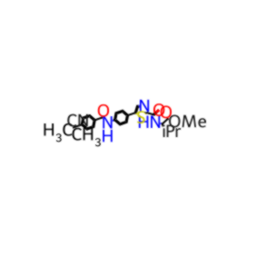 COC(=O)C(NC(=O)c1ncc(-c2ccc(NC(=O)c3ccc(C(C)(C)C#N)cc3)cc2)s1)C(C)C